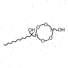 CCCCCCCCCCCCC(C)(CO)CN1CCOCCOCCN(CCO)CCOCCOCC1